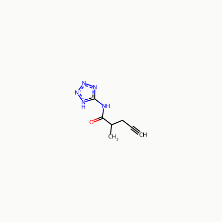 C#CCC(C)C(=O)Nc1nnn[nH]1